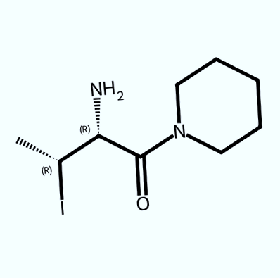 C[C@@H](I)[C@H](N)C(=O)N1CCCCC1